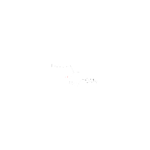 CCOC(=O)CC(O)CC(OC)OC